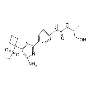 CCS(=O)(=O)C1(c2cc(N)nc(-c3ccc(NC(=O)N[C@H](C)CO)cc3)n2)CCC1